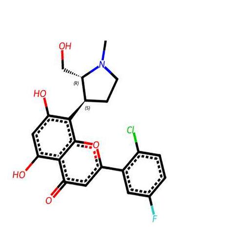 CN1CC[C@@H](c2c(O)cc(O)c3c(=O)cc(-c4cc(F)ccc4Cl)oc23)[C@@H]1CO